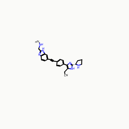 CCCNCc1nc2ccc(C#Cc3ccc(-c4nc([C@@H]5CCCN5)[nH]c4CC#N)cc3)cc2[nH]1